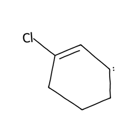 ClC1=C[C]CCC1